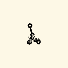 C(#Cc1csc(-c2nc3ccccn3c2NCC2CCCCC2)c1)c1ccccc1